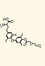 COCCOCC(=O)Oc1c(I)cc(Oc2c(I)cc(CCC(N)C(=O)O)cc2I)cc1I